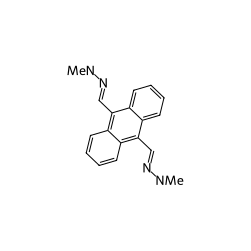 CN/N=C/c1c2ccccc2c(/C=N/NC)c2ccccc12